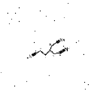 N#CCCC(CC#N)CC#N